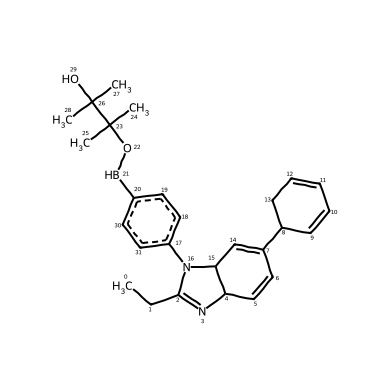 CCC1=NC2C=CC(C3C=CC=CC3)=CC2N1c1ccc(BOC(C)(C)C(C)(C)O)cc1